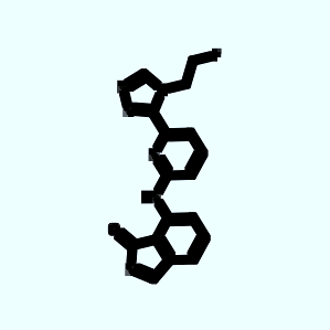 O=C1N=Cc2cccc(Nc3cccc(-c4nncn4CCF)n3)c21